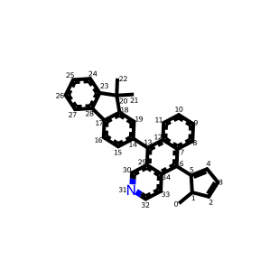 CC1C=CC=C1c1c2ccccc2c(-c2ccc3c(c2)C(C)(C)c2ccccc2-3)c2cnccc12